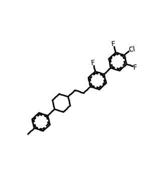 Cc1ccc(C2CCC(CCc3ccc(-c4cc(F)c(Cl)c(F)c4)c(F)c3)CC2)cc1